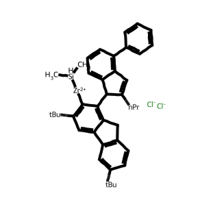 CCCC1=Cc2c(-c3ccccc3)cccc2C1c1c2c(cc(C(C)(C)C)[c]1[Zr+2][SiH](C)C)-c1cc(C(C)(C)C)ccc1C2.[Cl-].[Cl-]